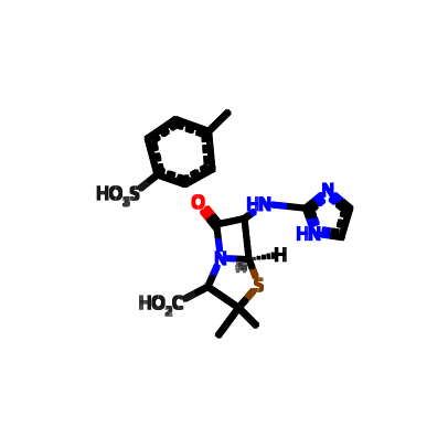 CC1(C)S[C@@H]2C(Nc3ncc[nH]3)C(=O)N2C1C(=O)O.Cc1ccc(S(=O)(=O)O)cc1